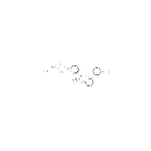 Cc1ccc(C(F)(F)F)cc1-c1nc(NS(=O)(=O)c2cccc(N3CCN(C(=O)OC(C)(C)C)CC3)n2)ccc1Cl